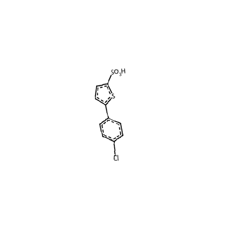 O=S(=O)(O)c1ccc(-c2ccc(Cl)cc2)s1